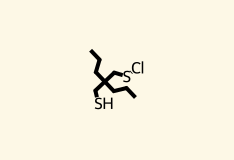 CCCC(CS)(CCC)CSCl